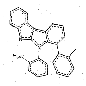 Bc1ccccc1-n1c2c(-c3ccccc3C)cccc2n2c3ccccc3nc12